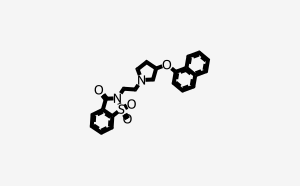 O=C1c2ccccc2S(=O)(=O)N1CCN1CCC(Oc2cccc3ccccc23)C1